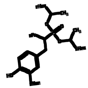 CCCCCCCCCc1cc(CC(CCC)P(=O)(OC(C)CCCCCC)OC(C)CCCCCC)ccc1O